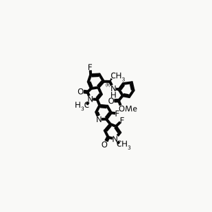 COC(=O)c1ccccc1N[C@H](C)c1cc(F)cc2c(=O)n(C)c(-c3cnc(-c4cc(=O)n(C)cc4F)c(F)c3)cc12